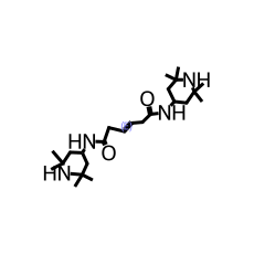 CC1(C)CC(NC(=O)C/C=C/CC(=O)NC2CC(C)(C)NC(C)(C)C2)CC(C)(C)N1